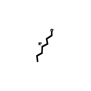 CCCCCCC[O-].[K+]